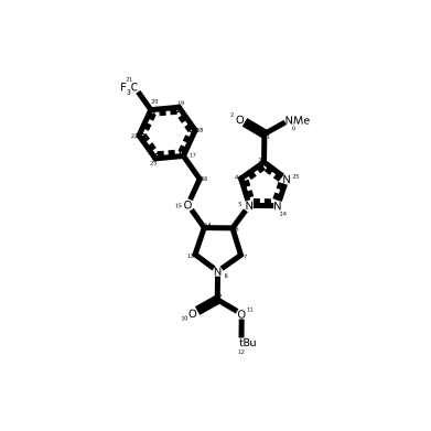 CNC(=O)c1cn(C2CN(C(=O)OC(C)(C)C)CC2OCc2ccc(C(F)(F)F)cc2)nn1